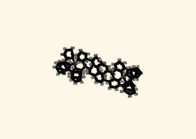 c1ccc(-c2ccccc2[Si]2(c3ccccc3-c3ccccc3)c3ccccc3B3c4c(cccc42)-c2ccc4cc5c6c(ccc7cc3c2c4c76)-c2cccc3c2B5c2ccccc2[Si]3(c2ccccc2-c2ccccc2)c2ccccc2-c2ccccc2)cc1